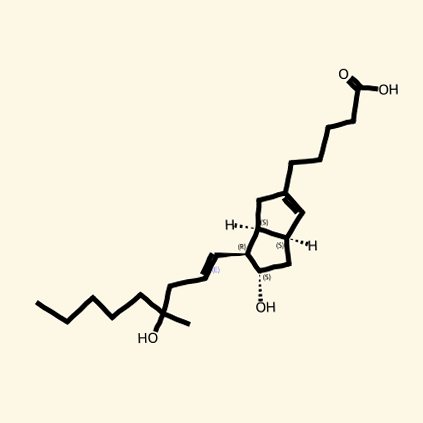 CCCCCC(C)(O)C/C=C/[C@H]1[C@H]2CC(CCCCC(=O)O)=C[C@H]2C[C@@H]1O